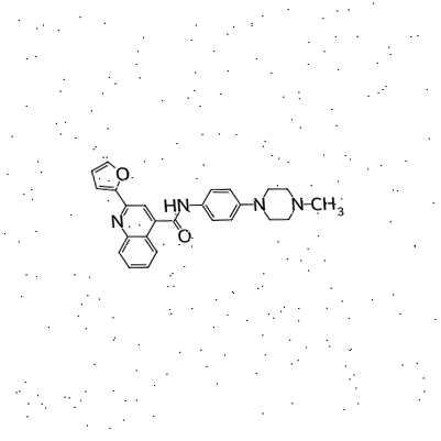 CN1CCN(c2ccc(NC(=O)c3cc(-c4ccco4)nc4ccccc34)cc2)CC1